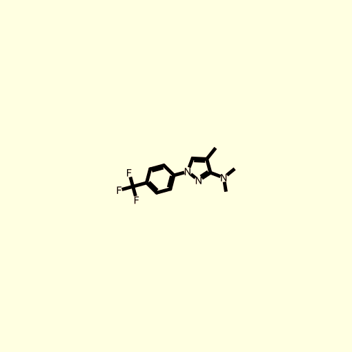 Cc1cn(-c2ccc(C(F)(F)F)cc2)nc1N(C)C